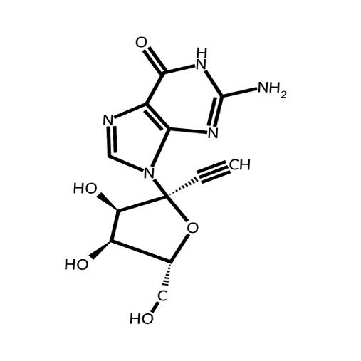 C#C[C@]1(n2cnc3c(=O)[nH]c(N)nc32)O[C@H](CO)[C@@H](O)[C@H]1O